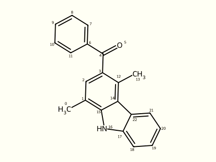 Cc1cc(C(=O)c2ccccc2)c(C)c2c1[nH]c1ccccc12